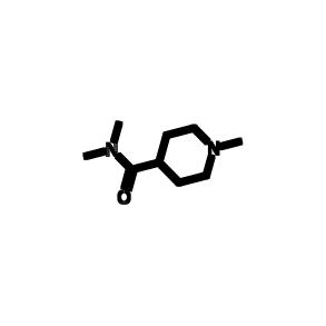 CN1CCC(C(=O)N(C)C)CC1